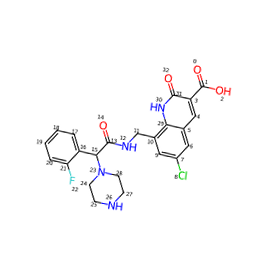 O=C(O)c1cc2cc(Cl)cc(CNC(=O)C(c3ccccc3F)N3CCNCC3)c2[nH]c1=O